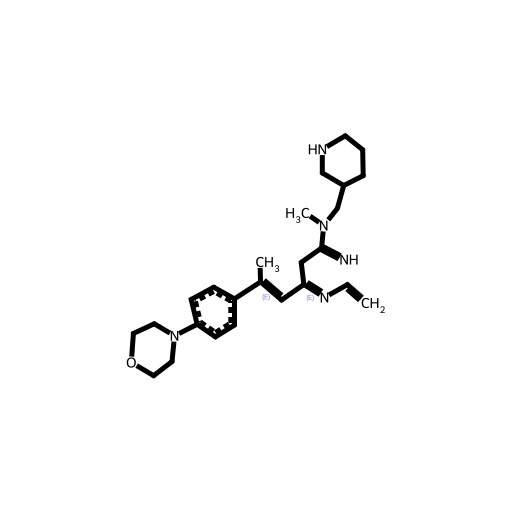 C=C/N=C(/C=C(\C)c1ccc(N2CCOCC2)cc1)CC(=N)N(C)CC1CCCNC1